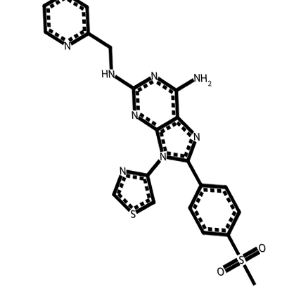 CS(=O)(=O)c1ccc(-c2nc3c(N)nc(NCc4ccccn4)nc3n2-c2cscn2)cc1